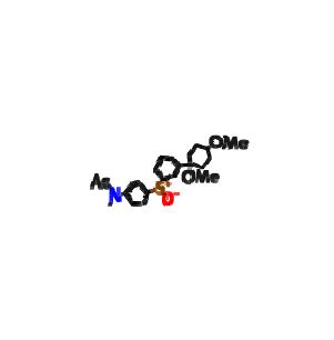 CO[C@H]1CC[C@@](OC)(c2cccc([S+]([O-])c3ccc(N(C)C(C)=O)cc3)c2)CC1